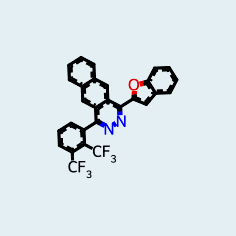 FC(F)(F)c1cccc(-c2nnc(-c3cc4ccccc4o3)c3cc4ccccc4cc23)c1C(F)(F)F